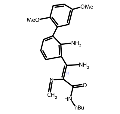 C=N/C(C(=O)NCCCC)=C(/N)c1cccc(-c2cc(OC)ccc2OC)c1N